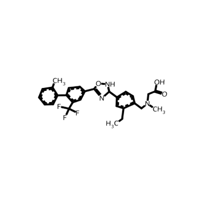 CCc1cc(C2N=C(c3ccc(-c4ccccc4C)c(C(F)(F)F)c3)ON2)ccc1CN(C)CC(=O)O